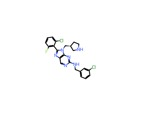 Fc1cccc(Cl)c1-c1nc2cnc(NCc3cccc(Cl)c3)nc2n1C[C@H]1CCNC1